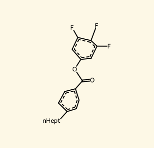 CCCCCCCc1ccc(C(=O)Oc2cc(F)c(F)c(F)c2)cc1